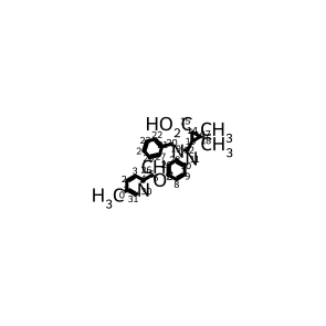 Cc1ccc(COc2ccc3nc(C4C(C(=O)O)C4(C)C)n(Cc4cccc(C)c4)c3c2)nc1